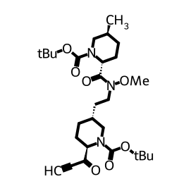 C#CC(=O)[C@H]1CC[C@H](CCN(OC)C(=O)[C@H]2CC[C@H](C)CN2C(=O)OC(C)(C)C)CN1C(=O)OC(C)(C)C